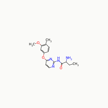 CCC(N)C(=O)Nc1nccc(Oc2ccc(C)c(OC)c2)n1